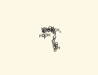 CC[C@]12CNc3nnc(-c4cc(F)cc(F)c4O)cc3N1CCN(C(=O)N1CCN(CC3CCN(c4ccc5c(c4)C(=O)N([C@H]4CCC(=O)NC4=O)C5)CC3)CC1(C)C)C2